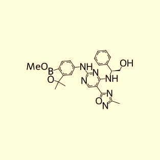 COB1OC(C)(C)c2cc(Nc3ncc(-c4nc(C)no4)c(N[C@H](CO)c4ccccc4)n3)ccc21